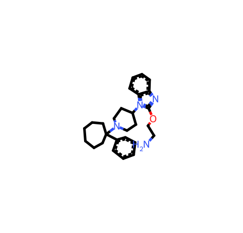 NCCOc1nc2ccccc2n1C1CCN(C2(c3ccccc3)CCCCCC2)CC1